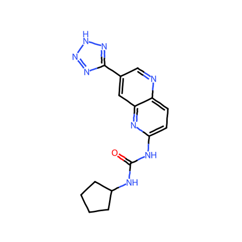 O=C(Nc1ccc2ncc(-c3nn[nH]n3)cc2n1)NC1CCCC1